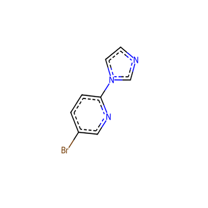 Brc1ccc(-n2ccnc2)nc1